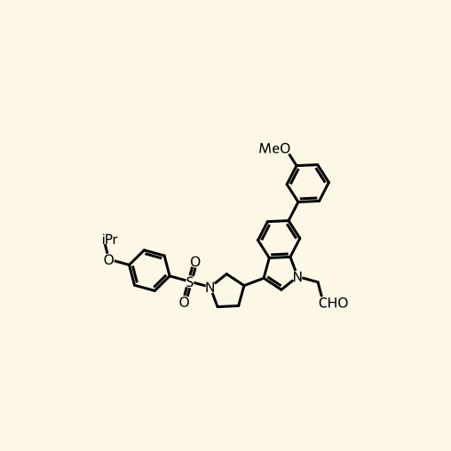 COc1cccc(-c2ccc3c(C4CCN(S(=O)(=O)c5ccc(OC(C)C)cc5)C4)cn(CC=O)c3c2)c1